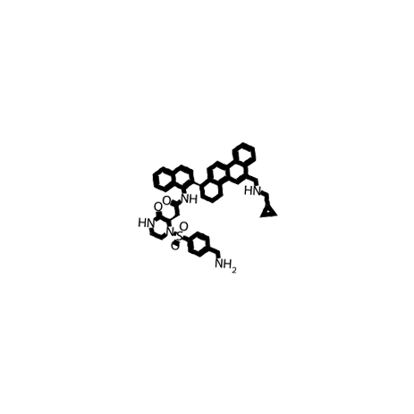 NCc1ccc(S(=O)(=O)N2CCNC(=O)[C@H]2CC(=O)Nc2c([C@@H]3CCCc4c3ccc3c4cc(CNCC4CC4)c4ccccc43)ccc3ccccc23)cc1